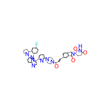 O=C1CCC(N2Cc3ccc(C#CC(=O)N4CCN(c5cccc(-c6cnc7ccc(N8CCCC8c8cccc(F)c8)nn67)n5)CC4)cc3C2=O)C(=O)N1